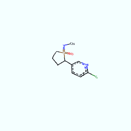 N#CN=S1(=O)CCCC1c1ccc(Cl)nc1